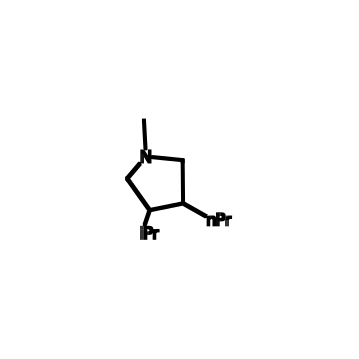 CCCC1CN(C)CC1C(C)C